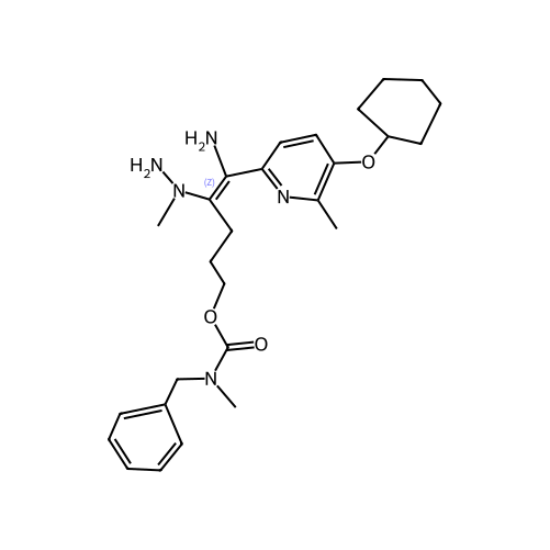 Cc1nc(/C(N)=C(\CCCOC(=O)N(C)Cc2ccccc2)N(C)N)ccc1OC1CCCCC1